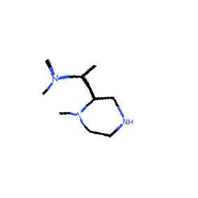 CC(C1CNCCN1C)N(C)C